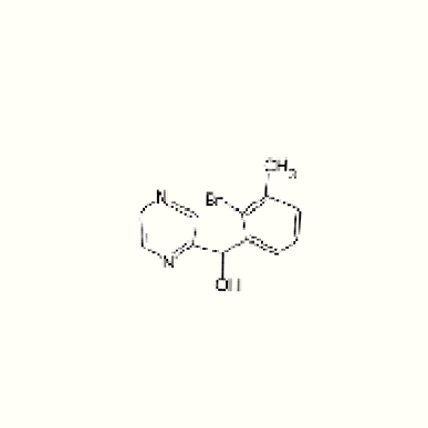 Cc1cccc(C(O)c2cnccn2)c1Br